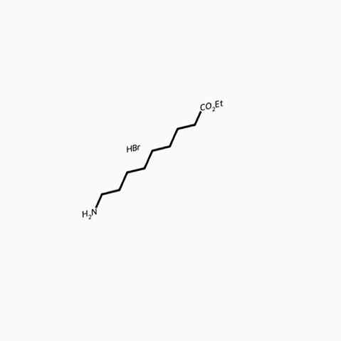 Br.CCOC(=O)CCCCCCCCN